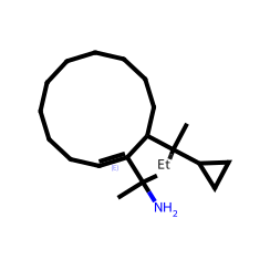 CCC(C)(C1CC1)C1CCCCCCCCC/C=C\1C(C)(C)N